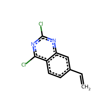 C=Cc1ccc2c(Cl)nc(Cl)nc2c1